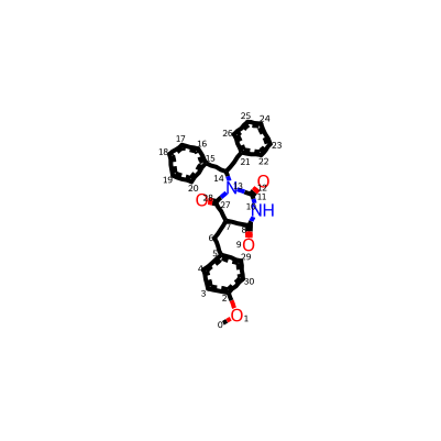 COc1ccc(CC2C(=O)NC(=O)N(C(c3ccccc3)c3ccccc3)C2=O)cc1